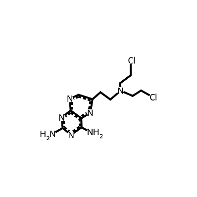 Nc1nc(N)c2nc(CCN(CCCl)CCCl)cnc2n1